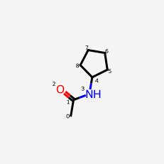 CC(=O)NC1CCCC1